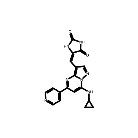 O=C1NC(=O)/C(=C\c2cnn3c(NC4CC4)cc(-c4ccncc4)nc23)N1